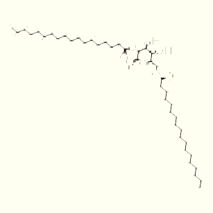 CCCCCCCCCCCCCCCCCC(=O)OCC1O[C@@H](OC)C(OC(=O)CCCCCCCCCCCCCCCCC)C(O)[C@@H]1O